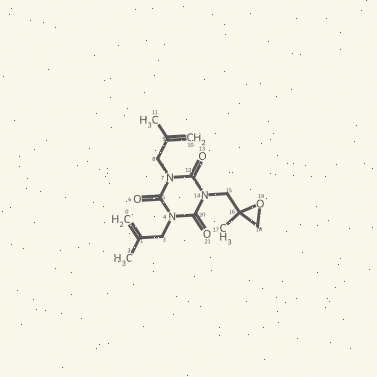 C=C(C)Cn1c(=O)n(CC(=C)C)c(=O)n(CC2(C)CO2)c1=O